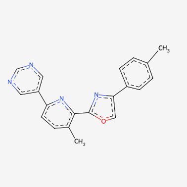 Cc1ccc(-c2coc(-c3nc(-c4cncnc4)ccc3C)n2)cc1